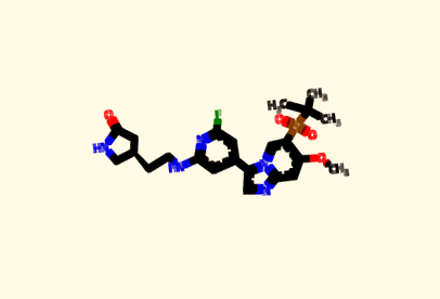 COc1cc2ncc(-c3cc(F)nc(NCC[C@H]4CNC(=O)C4)c3)n2cc1S(=O)(=O)C(C)(C)C